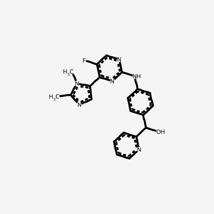 Cc1ncc(-c2nc(Nc3ccc(C(O)c4ccccn4)cc3)ncc2F)n1C